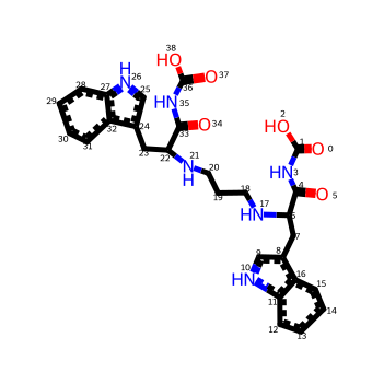 O=C(O)NC(=O)C(Cc1c[nH]c2ccccc12)NCCCNC(Cc1c[nH]c2ccccc12)C(=O)NC(=O)O